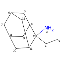 CCC1(N)C2CC3CC(C2)CC1C3